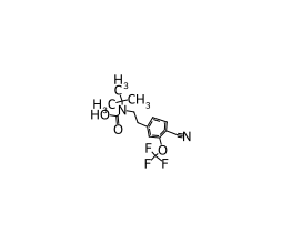 CC(C)(C)N(CCc1ccc(C#N)c(OC(F)(F)F)c1)C(=O)O